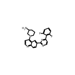 NC1CCCN(c2ccnc3ccc(-c4nccc(-c5c(F)cccc5F)n4)cc23)C1